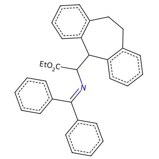 CCOC(=O)C(N=C(c1ccccc1)c1ccccc1)C1c2ccccc2CCc2ccccc21